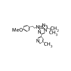 C=C(C)c1cnc2c(NCCc3ccc(OC)cc3)nc(-c3cncc(C)c3)cn12